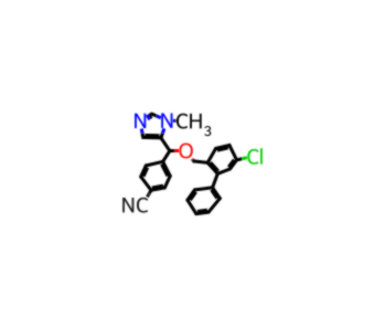 Cn1cncc1C(OCc1ccc(Cl)cc1-c1ccccc1)c1ccc(C#N)cc1